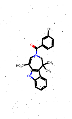 Cc1cccc(C(=O)N2C=C(C(=O)O)c3[nH]c4ccccc4c3C(C)(C)C2)c1